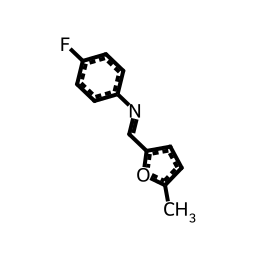 Cc1ccc(C=Nc2ccc(F)cc2)o1